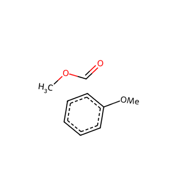 COC=O.COc1ccccc1